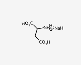 NC(CC(=O)O)C(=O)O.O.[NaH]